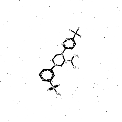 CC(C)[C@@H]1CN(c2cccc(S(C)(=O)=O)c2)CCN1c1ccc(C(F)(F)F)nn1